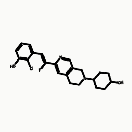 Oc1cccc(/C=C(\F)c2cc3c(cn2)CN(C2CCC(O)CC2)CC3)c1Cl